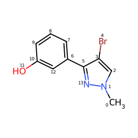 Cn1cc(Br)c(-c2cccc(O)c2)n1